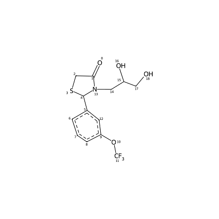 O=C1CSC(c2cccc(OC(F)(F)F)c2)N1CC(O)CO